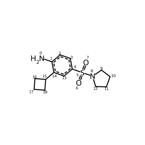 Nc1ccc(S(=O)(=O)N2CCCC2)cc1C1CCC1